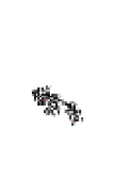 CCn1nc(C2CC2)cc1Nc1nc(C(=O)NCCCNc2cccc3c2C(=O)N(C2CCC(=O)NC2=O)C3=O)nc2[nH]c3cc(-c4c(C)noc4C)c(OC)cc3c12